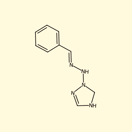 C(=NNN1CNC=N1)c1ccccc1